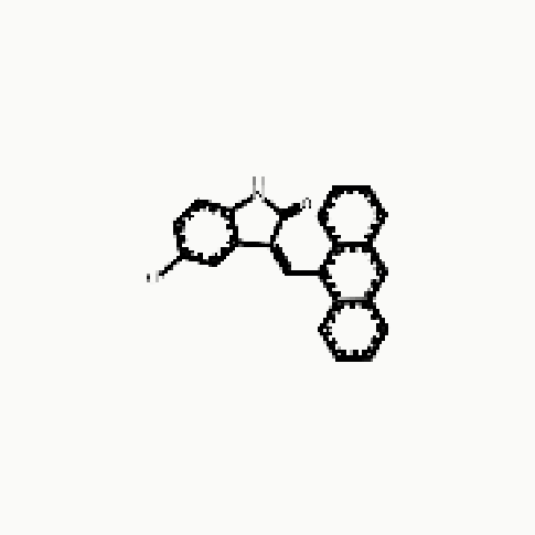 O=C1Nc2ccc(Cl)cc2C1=Cc1c2ccccc2cc2ccccc12